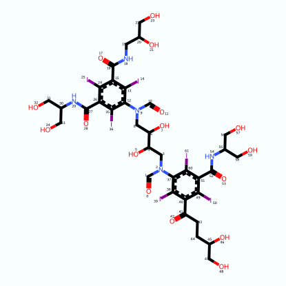 O=CN(CC(O)C(O)CN(C=O)c1c(I)c(C(=O)NCC(O)CO)c(I)c(C(=O)NC(CO)CO)c1I)c1c(I)c(C(=O)CCC(O)CO)c(I)c(C(=O)NC(CO)CO)c1I